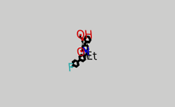 CC[C@@H](c1ccc(-c2ccc(F)cc2)cc1)N1CC[C@](CCCO)(c2ccccc2)CC1=O